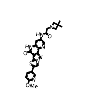 COc1ccc(-c2cn3nc4c5ncc(NC(=O)CN6CC(C)(C)C6)cc5[nH]c(=O)c4c3s2)cn1